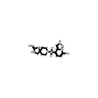 N=C1NCC2(CCN(S(=O)(=O)C3=CC=C(Cl)N4ONC=C34)CC2)N1